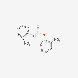 O=[N+]([O-])c1ccccc1OS(=O)Oc1ccccc1[N+](=O)[O-]